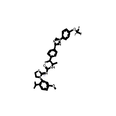 COc1ccc(C(C)C)c(N2CCS/C2=N\C(=O)NC(C)C(F)c2ccc(-c3ncn(-c4ccc(OC(F)(F)F)cc4)n3)cc2)c1